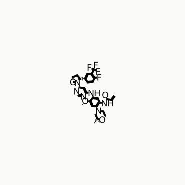 C=CC(=O)Nc1cc(Nc2cc(N3OCC[C@@H]3c3ccc(F)c(C(F)(F)F)c3)ncn2)c(OC)cc1N1CCO[C@H](C)C1